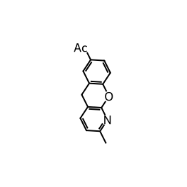 CC(=O)c1ccc2c(c1)Cc1ccc(C)nc1O2